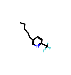 CCCCCc1ccc(C(F)(F)F)nc1